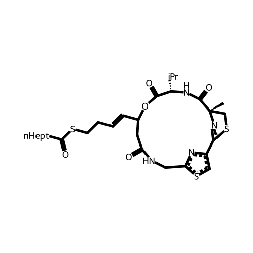 CCCCCCCC(=O)SCC/C=C/C1CC(=O)NCc2nc(cs2)C2=N[C@@](C)(CS2)C(=O)N[C@@H](C(C)C)C(=O)O1